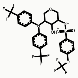 N=S(=O)(NC1COCC(N(c2ccc(C(F)(F)F)cc2)c2ccc(C(F)(F)F)cc2)C1O)c1ccc(OC(F)(F)F)cc1